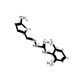 Cc1ccc(/C=N/NC(=O)Nc2c(C)cccc2C)s1